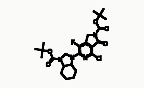 CC(C)(C)OC(=O)N1Cc2c(F)c(N3CN(C(=O)OC(C)(C)C)C4CCCCC43)nc(Cl)c2C1=O